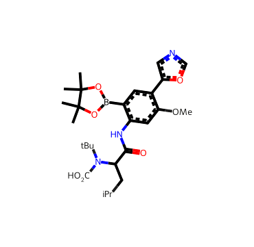 COc1cc(NC(=O)C(CC(C)C)N(C(=O)O)C(C)(C)C)c(B2OC(C)(C)C(C)(C)O2)cc1-c1cnco1